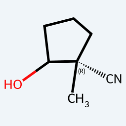 C[C@]1(C#N)CCCC1O